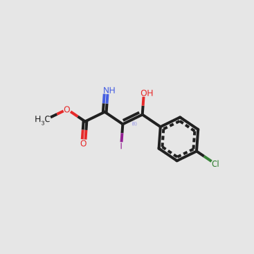 COC(=O)C(=N)/C(I)=C(\O)c1ccc(Cl)cc1